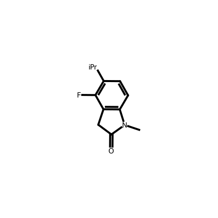 CC(C)c1ccc2c(c1F)CC(=O)N2C